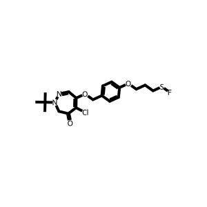 CC(C)(C)N1CC(=O)C(Cl)=C(OCc2ccc(OCCCSF)cc2)C=N1